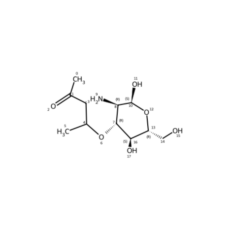 CC(=O)[CH]C(C)O[C@@H]1[C@@H](N)[C@@H](O)O[C@H](CO)[C@H]1O